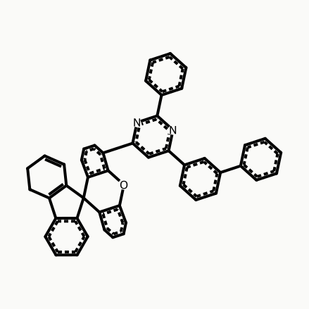 C1=CC2=C(CC1)c1ccccc1C21c2ccccc2Oc2c(-c3cc(-c4cccc(-c5ccccc5)c4)nc(-c4ccccc4)n3)cccc21